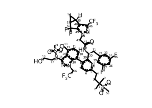 CC(C)(CCc1ccc(-c2ccc(Cl)c3c(N(CCO)S(C)(=O)=O)nn(CC(F)(F)F)c23)c([C@H](Cc2cc(F)cc(F)c2)NC(=O)Cn2nc(C(F)(F)F)c3c2C(F)(F)C2C[C@H]32)n1)S(C)(=O)=O